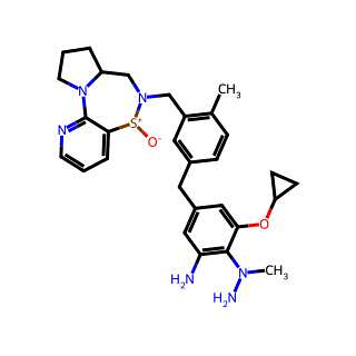 Cc1ccc(Cc2cc(N)c(N(C)N)c(OC3CC3)c2)cc1CN1CC2CCCN2c2ncccc2[S+]1[O-]